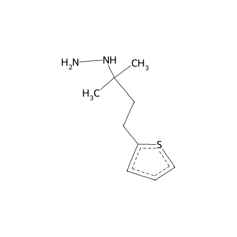 CC(C)(CCc1cccs1)NN